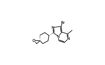 Cc1nccn2c1c(Br)nc2[C@H]1CC[C@]2(CC1)CO2